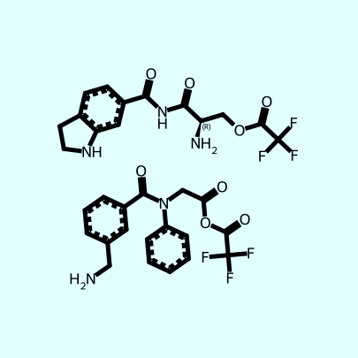 NCc1cccc(C(=O)N(CC(=O)OC(=O)C(F)(F)F)c2ccccc2)c1.N[C@H](COC(=O)C(F)(F)F)C(=O)NC(=O)c1ccc2c(c1)NCC2